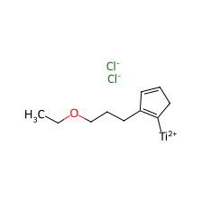 CCOCCCC1=[C]([Ti+2])CC=C1.[Cl-].[Cl-]